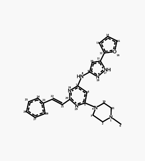 CN1CCN(c2cc(Nc3cc(-c4ccco4)[nH]n3)nc(/C=C/c3ccccc3)n2)CC1